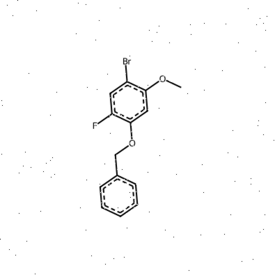 COc1cc(OCc2ccccc2)c(F)cc1Br